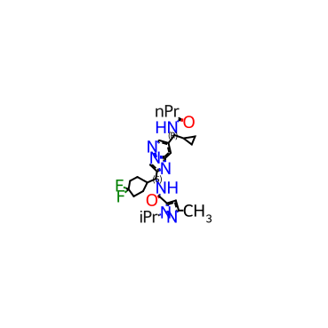 CCCC(=O)N[C@@H](c1cnn2cc([C@@H](NC(=O)c3cc(C)nn3C(C)C)C3CCC(F)(F)CC3)nc2c1)C1CC1